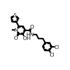 Cn1c(-c2ccsc2)cc(C(=O)NCCCc2ccc(Cl)c(Cl)c2)c(O)c1=O